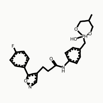 CC1CO[PH](O)(Cc2ccc(NC(=O)CCc3cnoc3-c3ccc(F)cc3)cc2)OC1